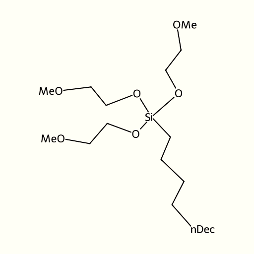 CCCCCCCCCCCCCC[Si](OCCOC)(OCCOC)OCCOC